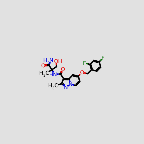 Cc1nn2ccc(OCc3ccc(F)cc3F)cc2c1C(=O)NC(C)(CO)C(N)=O